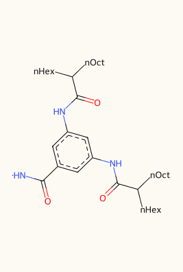 CCCCCCCCC(CCCCCC)C(=O)Nc1cc(NC(=O)C(CCCCCC)CCCCCCCC)cc(C([NH])=O)c1